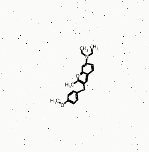 CCN(CC)c1ccc2cc(Cc3ccc(OC)cc3)c(C)[o+]c2c1